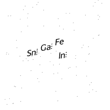 [Fe].[Ga].[In].[Sn]